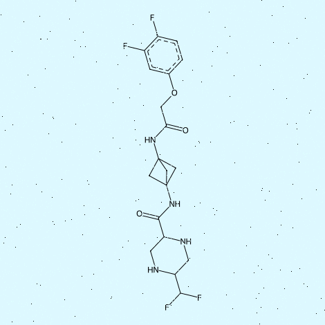 O=C(COc1ccc(F)c(F)c1)NC12CC(NC(=O)C3CNC(C(F)F)CN3)(C1)C2